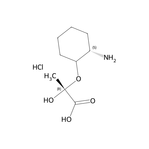 C[C@@](O)(OC1CCCC[C@@H]1N)C(=O)O.Cl